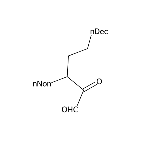 CCCCCCCCCCCCC(CCCCCCCCC)C(=O)C=O